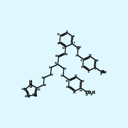 CC(C)(C)c1ccc(COc2ccccc2C=CC(CCCCc2nnn[nH]2)CCc2ccc(C(=O)O)cc2)cc1